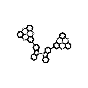 c1cc2c3c(c1)Oc1cc(-c4ccc5c(c4)c4ccccc4n5-n4c5ccccc5c5cc(-c6cc7c8c(c6)Oc6cccc9c6B8c6c(cccc6O7)O9)ccc54)cc4c1B3c1c(cccc1O4)O2